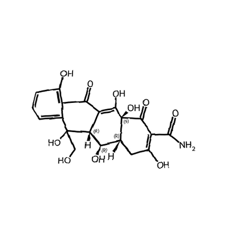 NC(=O)C1=C(O)C[C@@H]2[C@@H](O)[C@H]3C(=C(O)[C@]2(O)C1=O)C(=O)c1c(O)cccc1C3(O)CO